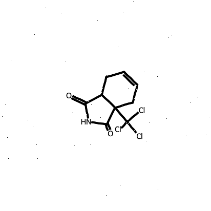 O=C1NC(=O)C2(C(Cl)(Cl)Cl)CC=CCC12